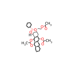 CC(=O)OCC[C@]12Cc3c(c(OC(C)=O)c4cc5ccccc5cc4c3OC(C)=O)[C@H](C1)OB(c1ccccc1)O2